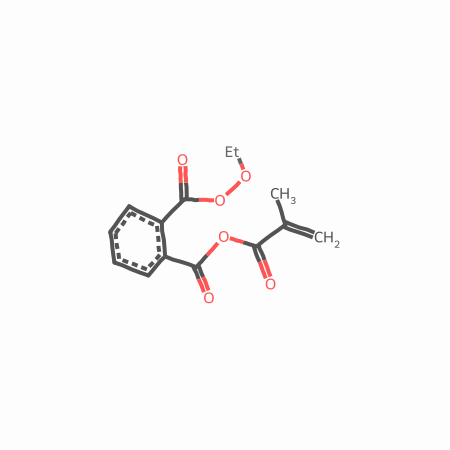 C=C(C)C(=O)OC(=O)c1ccccc1C(=O)OOCC